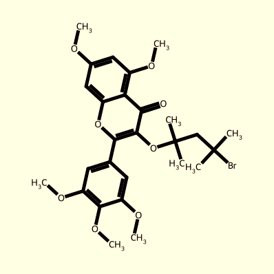 COc1cc(OC)c2c(=O)c(OC(C)(C)CC(C)(C)Br)c(-c3cc(OC)c(OC)c(OC)c3)oc2c1